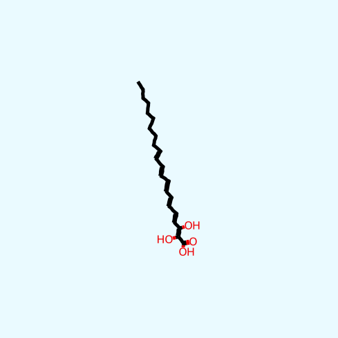 CCCCCCCCCC=CC=CC=CC=CC=CC(O)=C(O)C(=O)O